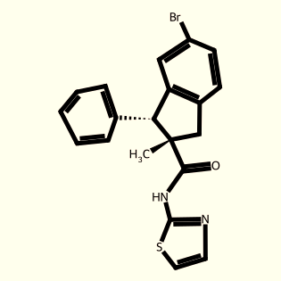 C[C@]1(C(=O)Nc2nccs2)Cc2ccc(Br)cc2[C@H]1c1ccccc1